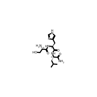 CC(C)C[C@H](NC(=O)[C@H](Cc1c[nH]cn1)NC(=O)[C@@H](N)CO)C(N)=O